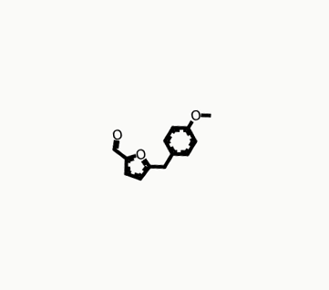 COc1ccc(Cc2ccc(C=O)o2)cc1